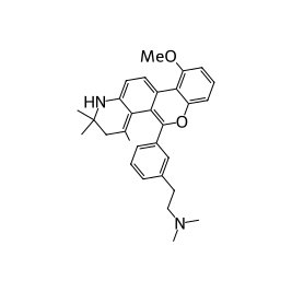 COc1cccc2c1-c1ccc3c(c1=C(c1cccc(CCN(C)C)c1)O2)=C(C)CC(C)(C)N3